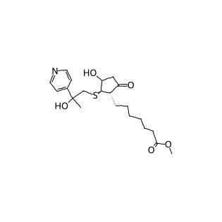 COC(=O)CCCCCC[C@H]1C(=O)CC(O)[C@@H]1SCC(C)(O)c1ccncc1